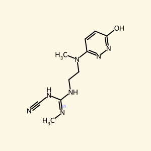 C/N=C(\NC#N)NCCN(C)c1ccc(O)nn1